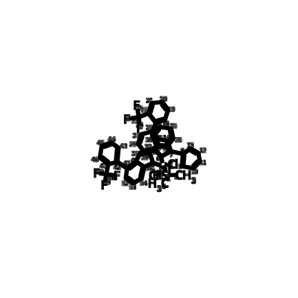 C[SiH](C)[Hf]([Cl])([Cl])([CH]1C(c2ccccc2)=Cc2c(-c3ccccc3C(F)(F)F)cccc21)[CH]1C(c2ccccc2)=Cc2c(-c3ccccc3C(F)(F)F)cccc21